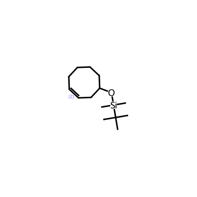 CC(C)(C)[Si](C)(C)OC1C/C=C\CCCC1